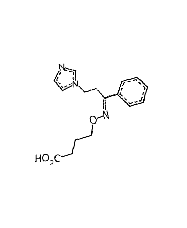 O=C(O)CCCON=C(CCn1ccnc1)c1ccccc1